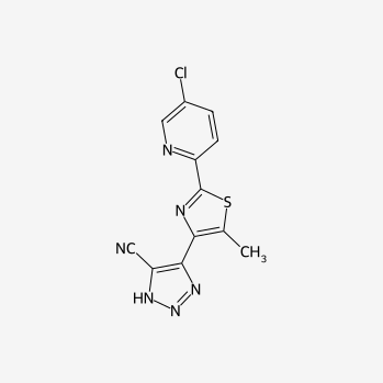 Cc1sc(-c2ccc(Cl)cn2)nc1-c1nn[nH]c1C#N